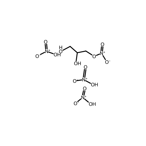 O=[N+]([O-])O.O=[N+]([O-])O.O=[N+]([O-])O.O=[N+]([O-])OCC(O)CO